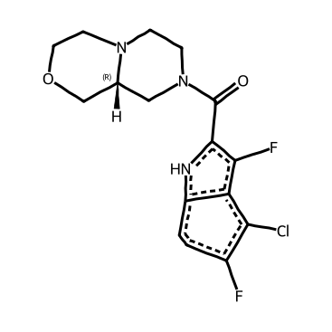 O=C(c1[nH]c2ccc(F)c(Cl)c2c1F)N1CCN2CCOC[C@H]2C1